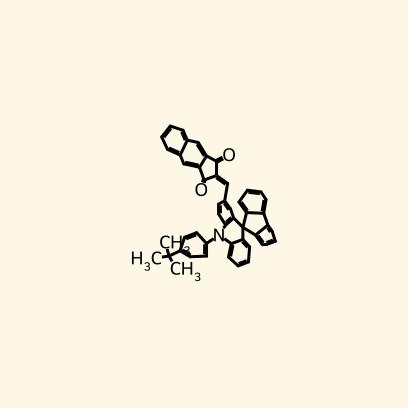 CC(C)(C)c1ccc(N2c3ccccc3C3(c4ccccc4-c4ccccc43)c3cc(C=C4C(=O)c5cc6ccccc6cc5C4=O)ccc32)cc1